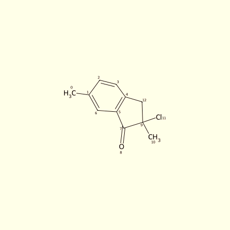 Cc1ccc2c(c1)C(=O)C(C)(Cl)C2